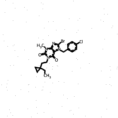 CCC1(CCn2c(=O)c3c(nc(Br)n3Cc3ccc(Cl)cc3)n(C)c2=O)CC1